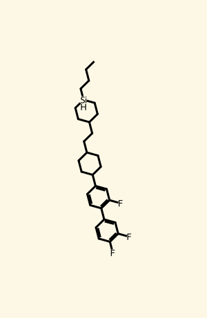 CCCC[SiH]1CCC(CCC2CCC(c3ccc(-c4ccc(F)c(F)c4)c(F)c3)CC2)CC1